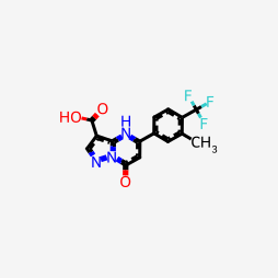 Cc1cc(-c2cc(=O)n3ncc(C(=O)O)c3[nH]2)ccc1C(F)(F)F